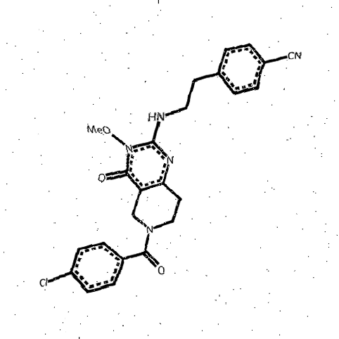 COn1c(NCCc2ccc(C#N)cc2)nc2c(c1=O)CN(C(=O)c1ccc(Cl)cc1)CC2